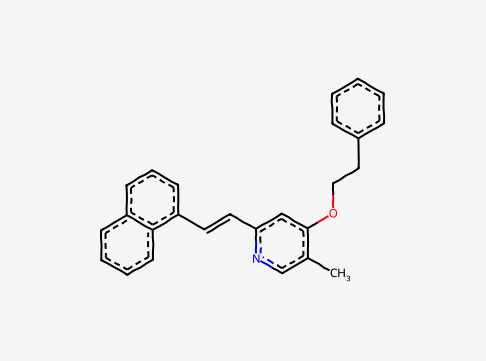 Cc1cnc(/C=C/c2cccc3ccccc23)cc1OCCc1ccccc1